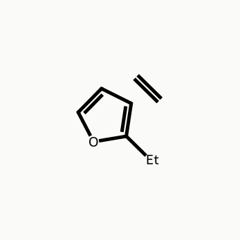 C=C.CCc1ccco1